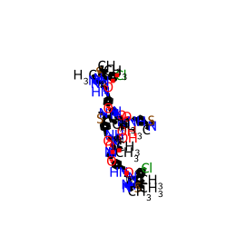 Cc1ncsc1-c1ccc(CNC(=O)[C@@H]2C[C@@H](O)CN2C(=O)[C@H](C(C)CCc2ncsc2-c2ccc(CNC(=O)[C@@H]3C[C@@H](O)CN3C(=O)[C@@H](C(C)C)n3cc(Oc4ccc(CNC(=O)C[C@@H]5N=C(c6ccc(Cl)cc6)c6c(sc(C)c6C)-n6c(C)nnc65)cc4)cn3)cc2)n2cc(Oc3ccc(CNC(=O)C[C@@H]4N=C(c5ccc(Cl)cc5)c5c(sc(C)c5C)-n5c(C)nnc54)cc3)cn2)cc1